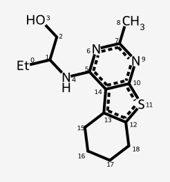 CCC(CO)Nc1nc(C)nc2sc3c(c12)CCCC3